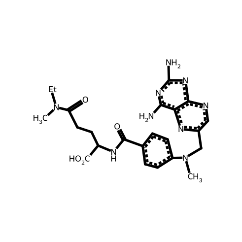 CCN(C)C(=O)CCC(NC(=O)c1ccc(N(C)Cc2cnc3nc(N)nc(N)c3n2)cc1)C(=O)O